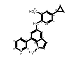 Cn1ccc2cc(Nc3ncc(C4CC4)cc3C(=O)O)cc(-c3cccnc3)c21